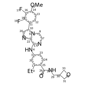 CCc1cc(Nc2nccn3c(-c4ccc(OC)c(F)c4F)cnc23)ccc1C(=O)NCC1COC1